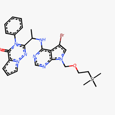 CC(Nc1ncnc2c1c(Br)cn2COCC[Si](C)(C)C)c1nn2cccc2c(=O)n1-c1ccccc1